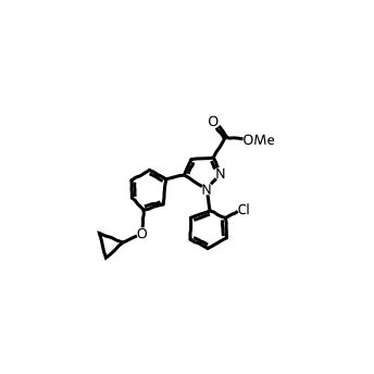 COC(=O)c1cc(-c2cccc(OC3CC3)c2)n(-c2ccccc2Cl)n1